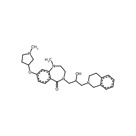 CN1CCC(Oc2ccc3c(c2)N(C)CCN(CC(O)CN2CCc4ccccc4C2)C3=O)C1